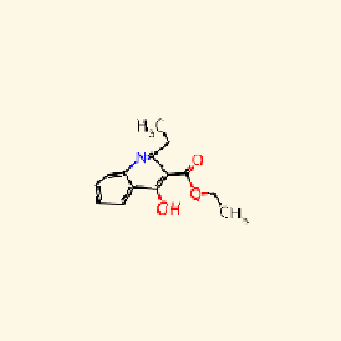 CCOC(=O)c1c(CC)nc2ccccc2c1O